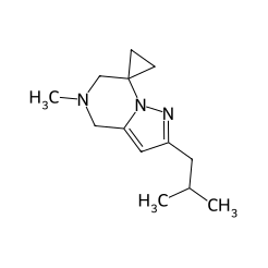 CC(C)Cc1cc2n(n1)C1(CC1)CN(C)C2